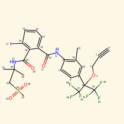 C#CCOC(c1ccc(NC(=O)c2cccc(I)c2C(=O)NC(C)(C)CS(C)(=O)=O)c(C)c1)(C(F)(F)F)C(F)(F)F